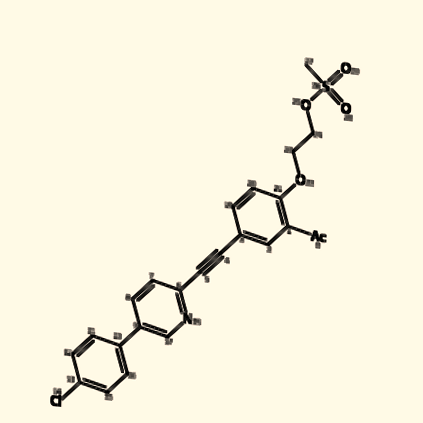 CC(=O)c1cc(C#Cc2ccc(-c3ccc(Cl)cc3)cn2)ccc1OCCOS(C)(=O)=O